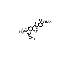 COc1ccc(C(=O)Nc2ccc3c(c2Cl)CN(C)CC3(C)C)cc1C(F)(F)F